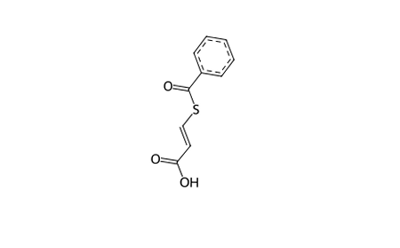 O=C(O)C=CSC(=O)c1ccccc1